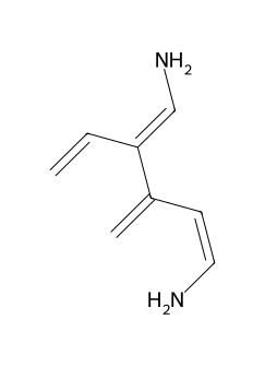 C=C/C(=C\N)C(=C)/C=C\N